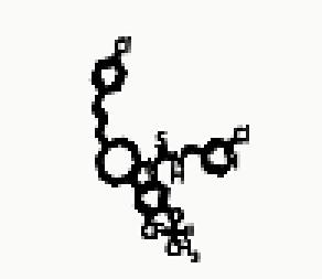 CC(F)(F)Oc1cc2c(cc1Cl)c1c(n2C(=S)NCc2ccnc(Cl)c2)CCC(C/C=C/c2ccc(Cl)cc2)CCC1